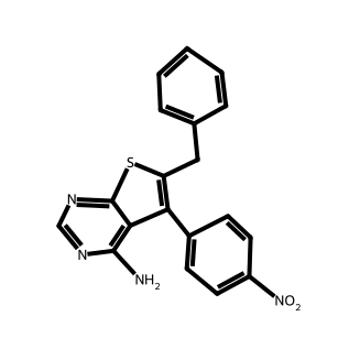 Nc1ncnc2sc(Cc3ccccc3)c(-c3ccc([N+](=O)[O-])cc3)c12